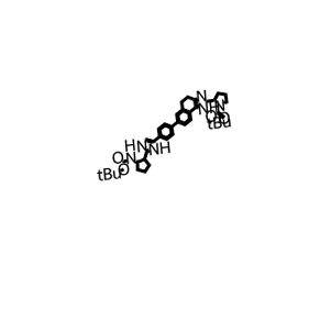 CC(C)(C)OC(=O)NC1CCCC1c1ncc(-c2ccc(-c3ccc4c(c3)CCc3nc(C5CCCN5C(=O)OC(C)(C)C)[nH]c3-4)cc2)[nH]1